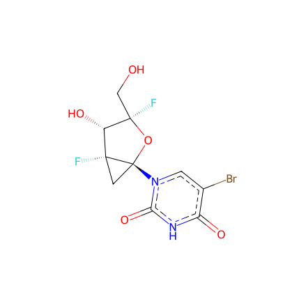 O=c1[nH]c(=O)n([C@@]23C[C@@]2(F)[C@H](O)[C@@](F)(CO)O3)cc1Br